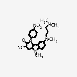 CN(C)CCCN(C)c1ccc2c(c1)c1c(cc(C#N)c(=O)n1-c1ccc([N+](=O)[O-])cc1)n2C